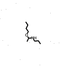 CCCCOC(C)NCCC